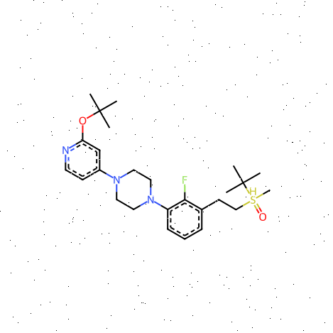 CC(C)(C)Oc1cc(N2CCN(c3cccc(CC[SH](C)(=O)C(C)(C)C)c3F)CC2)ccn1